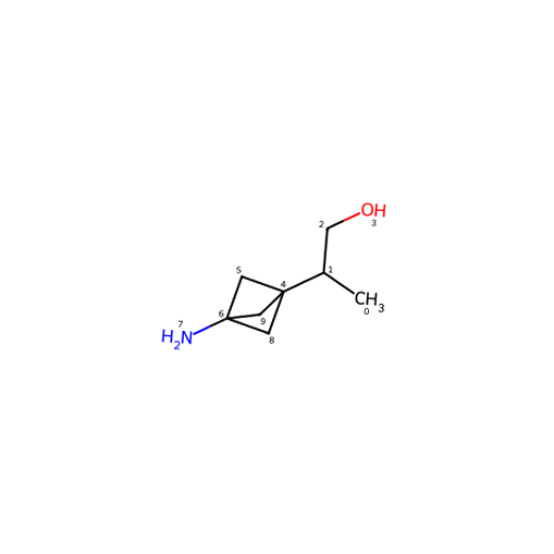 CC(CO)C12CC(N)(C1)C2